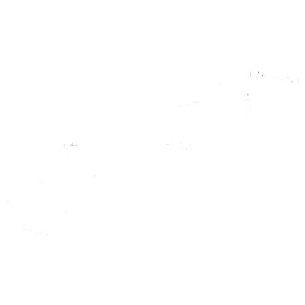 O=C(Cc1ccc(CCCC(O)c2ccccc2)cc1)NO